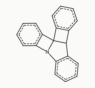 c1ccc2c(c1)C1c3ccccc3C13c1ccccc1N23